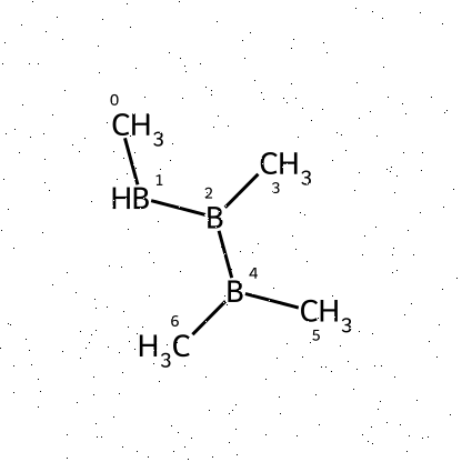 CBB(C)B(C)C